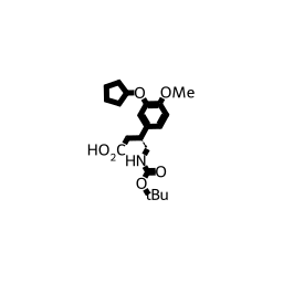 COc1ccc([C@H](CNC(=O)OC(C)(C)C)CC(=O)O)cc1OC1CCCC1